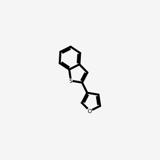 [c]1occc1-c1cc2ccccc2s1